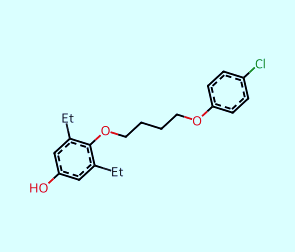 CCc1cc(O)cc(CC)c1OCCCCOc1ccc(Cl)cc1